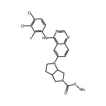 CC(C)(C)OC(=O)N1CC2CCN(c3ccc4ncnc(Nc5ccc(Cl)c(Cl)c5F)c4c3)C2C1